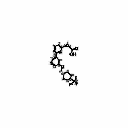 O=C(O)C1CC1c1cccc(-c2cncc(OC[C@H]3CC[C@H](C(F)(F)F)CC3)c2)n1